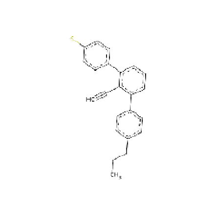 C#Cc1c(-c2ccc([S])cc2)cccc1-c1ccc(CCC)cc1